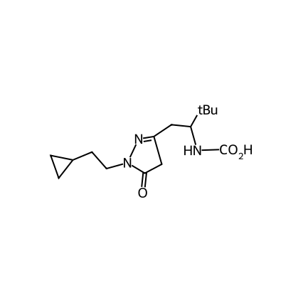 CC(C)(C)C(CC1=NN(CCC2CC2)C(=O)C1)NC(=O)O